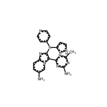 Cc1nc(N)nc(-c2c(N(c3ccncc3)c3cc[nH]n3)nc3ccc(N)cn23)n1